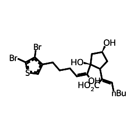 CCCCC=C(C(=O)O)C1C[C@H](O)C[C@@]1(O)/C(O)=C\CCCc1csc(Br)c1Br